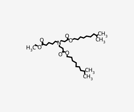 CCOC(=O)CCCCN(CCC(=O)OCCCCCCCC(C)C)CCC(=O)OCCCCCCCC(C)C